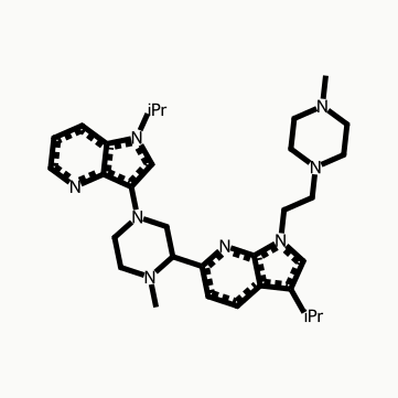 CC(C)c1cn(CCN2CCN(C)CC2)c2nc(C3CN(c4cn(C(C)C)c5cccnc45)CCN3C)ccc12